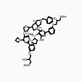 CNCC(O)COc1cccc(-c2nc(N[C@@H]3CCOC3C3C[C@H]4CN(Cc5ccccc5)C[C@H]4N(c4nc(-c5cccc(OCC(O)CNC)c5)nc(N[C@@H]5CCOC5)c4C)C3)c(C)c(N3CCC3)n2)c1